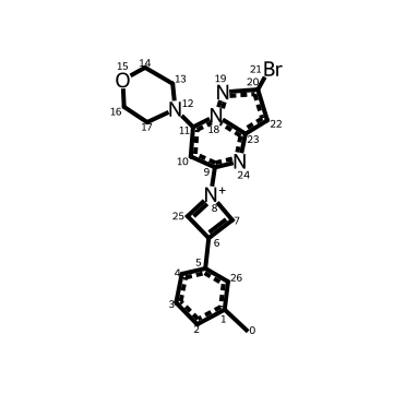 Cc1cccc(C2=C[N+](c3cc(N4CCOCC4)n4nc(Br)cc4n3)=C2)c1